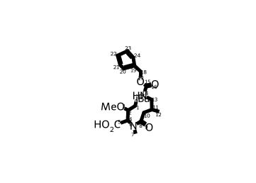 CCC(C)CC(OC)C(C(=O)O)N(C)C(=O)CC(C)CNC(=O)OCc1ccccc1